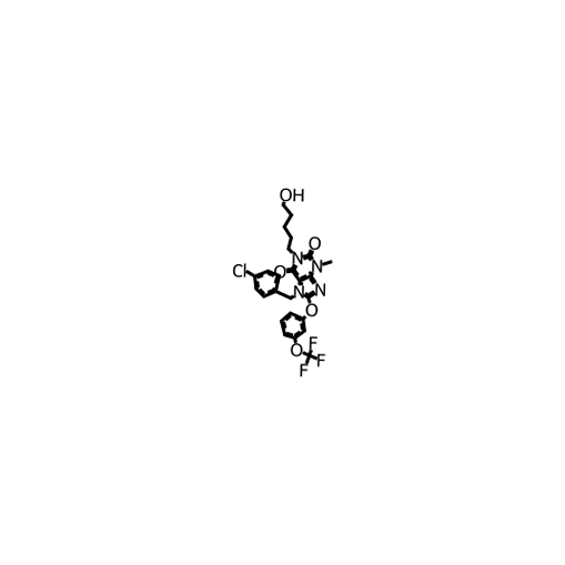 Cn1c(=O)n(CCCCCO)c(=O)c2c1nc(Oc1cccc(OC(F)(F)F)c1)n2Cc1ccc(Cl)cc1